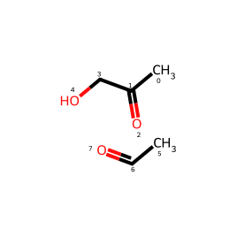 CC(=O)CO.CC=O